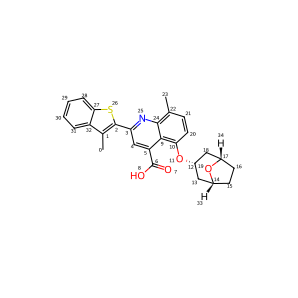 Cc1c(-c2cc(C(=O)O)c3c(O[C@H]4C[C@H]5CC[C@@H](C4)O5)ccc(C)c3n2)sc2ccccc12